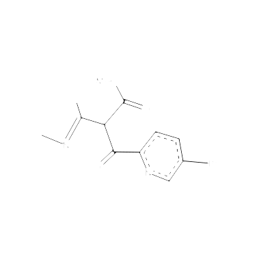 CN=C(C)C(C(=O)OC)C(=O)c1ccc(Br)cn1